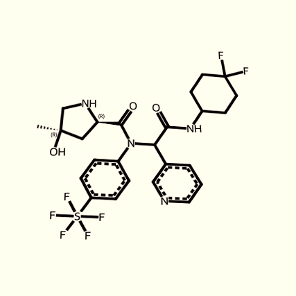 C[C@]1(O)CN[C@@H](C(=O)N(c2ccc(S(F)(F)(F)(F)F)cc2)C(C(=O)NC2CCC(F)(F)CC2)c2cccnc2)C1